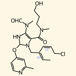 C/C=C(\C=C/CCl)CN1C(C(=O)N(C)CCCO)=C(N(C)C=O)NC1Oc1ccnc(C)c1